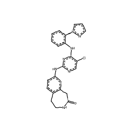 O=C1Cc2cc(Nc3ncc(Cl)c(Nc4ccccc4-n4cccn4)n3)ccc2CCN1